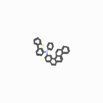 c1ccc(N(c2ccc3ccc4ccc5c6ccccc6ccc5c4c3c2)c2cccc3c2sc2ccccc23)cc1